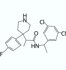 CC(NC(=O)C(C)C1(c2ccc(F)cc2)CCNCC1)c1cc(Cl)cc(Cl)c1